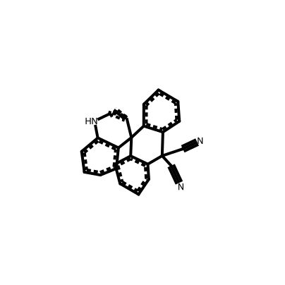 N#CC1(C#N)c2ccccc2C2(c3ccccc3Nc3ccccc32)c2ccccc21